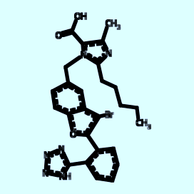 CCCCCc1nc(C)c(C(=O)O)n1Cc1ccc2oc(-c3ccccc3-c3nnn[nH]3)c(Br)c2c1